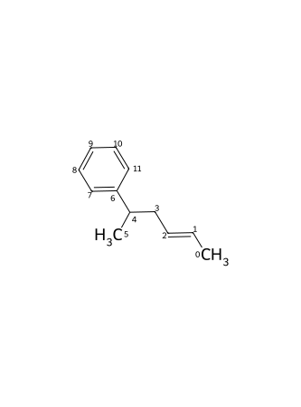 CC=CCC(C)c1ccccc1